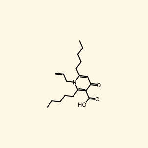 C=CCn1c(CCCCC)cc(=O)c(C(=O)O)c1CCCCC